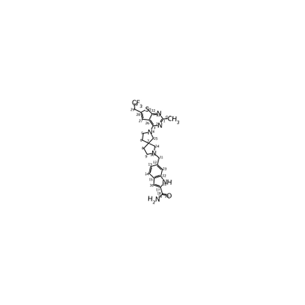 Cc1nc(N2CCC3(CCN(Cc4ccc5cc(C(N)=O)[nH]c5c4)C3)C2)c2cc(CC(F)(F)F)sc2n1